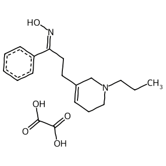 CCCN1CCC=C(CC/C(=N/O)c2ccccc2)C1.O=C(O)C(=O)O